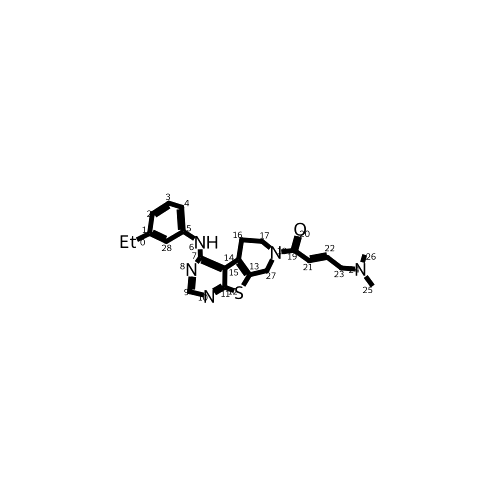 CCc1cccc(Nc2ncnc3sc4c(c23)CCN(C(=O)/C=C/CN(C)C)C4)c1